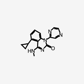 CNc1nc(=O)n(-c2cnccn2)c2cccc(C3CC3)c12